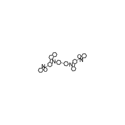 c1ccc2c(c1)ccc1c3cc(-c4nc5ccccc5o4)ccc3n(-c3ccc(-c4ccc(-n5c6ccccc6c6cc(-c7nc8ccccc8o7)ccc65)cc4)cc3)c21